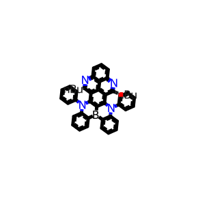 CCCCc1nc2cccc3nc(CCCC)c4c5c6c(c1c4c23)N(c1ccccc1)c1ccccc1B6c1ccccc1N5c1ccccc1